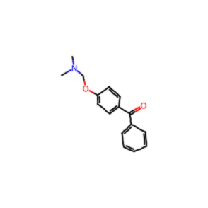 CN(C)COc1ccc(C(=O)c2ccccc2)cc1